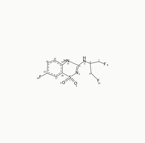 O=S1(=O)N=C(NC(CF)CF)Nc2ccc(F)cc21